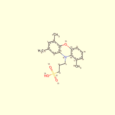 Cc1cc(C)c2c(c1)N(CCCS(=O)(=O)O)c1c(C)cccc1O2